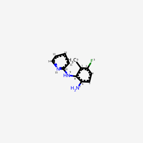 Cc1c(F)ccc(N)c1Nc1ccccn1